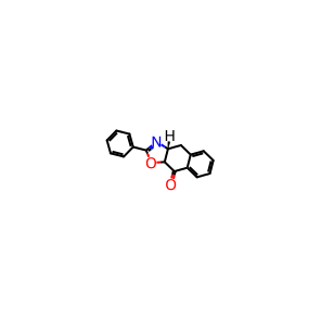 O=C1c2ccccc2C[C@H]2N=C(c3ccccc3)OC12